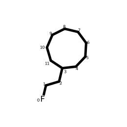 FCCC1CCCCCCCC1